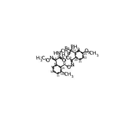 CNC(=O)/C(=N/OC)c1cccc(C)c1CO/N=C(\C)c1ccc(OC)cc1C(F)(P)P